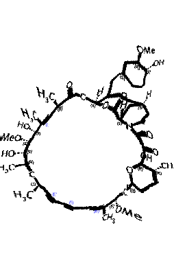 CO[C@H]1[C@@H](O)[C@H](C)C[C@H](C)/C=C/C=C/C=C(\C)[C@@H](OC)C[C@@H]2CC[C@@H](C)[C@@](O)(O2)C(=O)C(=O)N2CC[C@H]3C[C@H]2C(=O)O[C@@H](CC(=O)[C@H](C)/C=C(\C)[C@H]1O)C3C[C@@H]1CC[C@@H](O)[C@H](OC)C1